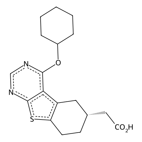 O=C(O)C[C@@H]1CCc2sc3ncnc(OC4CCCCC4)c3c2C1